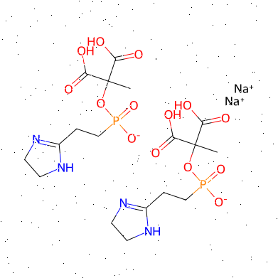 CC(OP(=O)([O-])CCC1=NCCN1)(C(=O)O)C(=O)O.CC(OP(=O)([O-])CCC1=NCCN1)(C(=O)O)C(=O)O.[Na+].[Na+]